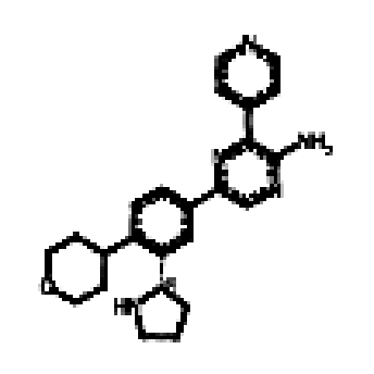 Nc1ncc(-c2ccc(C3CCOCC3)c([C@@H]3CCCN3)c2)nc1-c1ccncc1